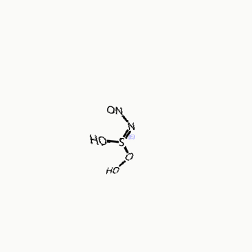 O=N/N=S(\O)OO